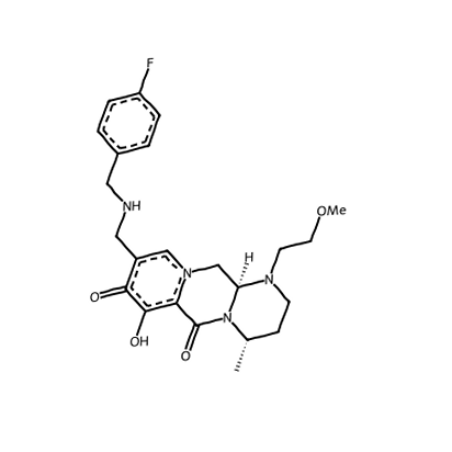 COCCN1CC[C@H](C)N2C(=O)c3c(O)c(=O)c(CNCc4ccc(F)cc4)cn3C[C@@H]12